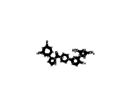 Cc1nc(C)n(-c2nc(N3CCN(C(=O)N4N=CC[C@H]4C4=CC(F)=CC(F)=CC4)CC3)ncc2F)n1